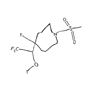 CS(=O)(=O)N1CCC(F)(C(OI)C(F)(F)F)CC1